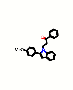 COc1ccc(-c2cc3ccccc3n2CCC(=O)c2ccccc2)cc1